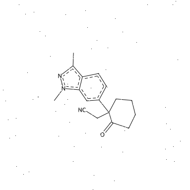 Cc1nn(C)c2cc(C3(CC#N)CCCCC3=O)ccc12